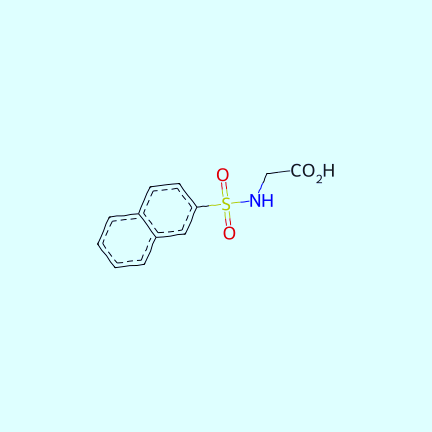 O=C(O)CNS(=O)(=O)c1ccc2ccccc2c1